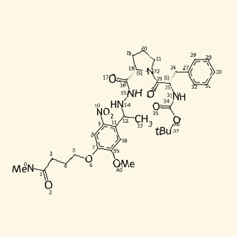 CNC(=O)CCCOc1cc([N+](=O)[O-])c(C(C)NNC(=O)[C@@H]2CCCN2C(=O)[C@H](Cc2ccccc2)NC(=O)OC(C)(C)C)cc1OC